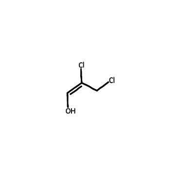 O/C=C(/Cl)CCl